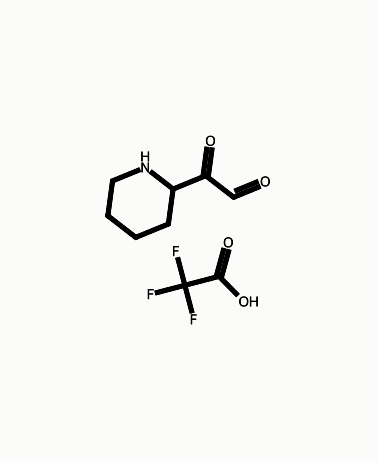 O=C(O)C(F)(F)F.O=CC(=O)C1CCCCN1